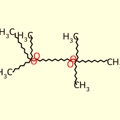 CCCCCCCCCCCC(CCCCCCCC)(CCCCCCCC)OC(=O)CCCCCCCCCCC(=O)OC(CCCCCCCC)(CCCCCCCC)CCCCCCCCCCC